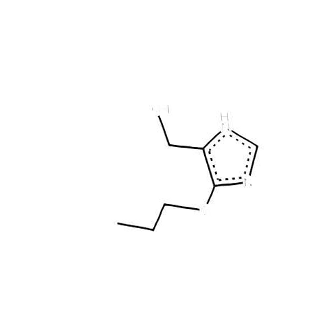 CCCSc1nc[nH]c1CO